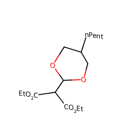 CCCCCC1COC(C(C(=O)OCC)C(=O)OCC)OC1